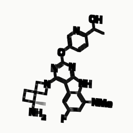 CNc1cc(F)cc2c1[nH]c1nc(Oc3ccc(C(C)O)nc3)nc(N3CC4(CC[C@]4(C)N)C3)c12